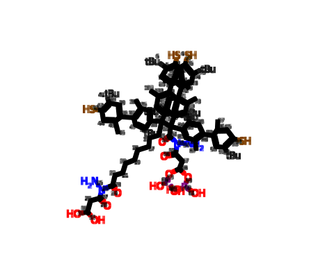 Cc1cc(S)c(C(C)(C)C)cc1-c1cc(C(C)(C)C)c(C(CCCCCCCCC(=O)N(N)C(=O)CC(O)O)(c2cc(C)c(-c3cc(C(C)(C)C)c(S)cc3C)cc2C(C)(C)C)C(C(=O)N(N)C(=O)CC(OP(O)O)OP(O)O)(c2cc(C)c(-c3cc(C(C)(C)C)c(S)cc3C)cc2C(C)(C)C)c2cc(C)c(-c3cc(C(C)(C)C)c(S)cc3C)cc2C(C)(C)C)cc1C